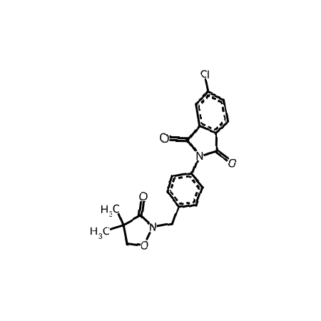 CC1(C)CON(Cc2ccc(N3C(=O)c4ccc(Cl)cc4C3=O)cc2)C1=O